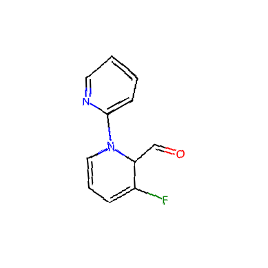 O=CC1C(F)=CC=CN1c1ccccn1